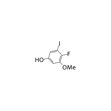 COc1cc(O)cc(I)c1F